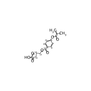 C=C(C)C(=O)Oc1ccc(C(=O)OCCCS(=O)(=O)O)cc1